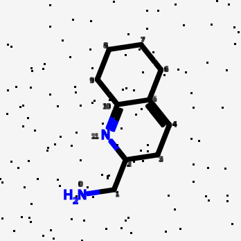 NCC1CC=C2CCCCC2=N1